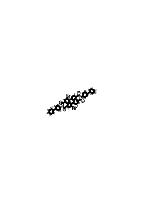 O=C1c2ccc3c4c(Br)cc5c6c(cc(Br)c(c7ccc(c2c37)C(=O)N1c1ccc(-c2ccccc2)cc1)c64)C(=O)N(c1ccc(-c2ccccc2)cc1)C5=O